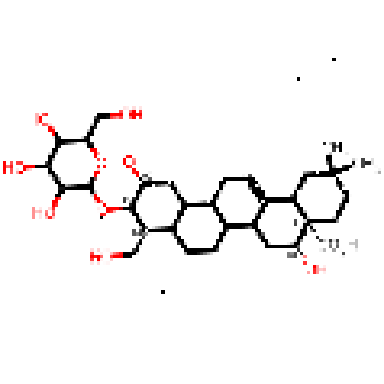 CC1(C)CC[C@@]2(C(=O)O)C(C1)C1=CCC3C(CCC4C3C[C@H](O)[C@H](OC3OC(CO)C(O)C(O)C3O)[C@@H]4CO)C1C[C@H]2O